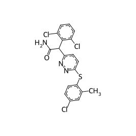 Cc1cc(Cl)ccc1Sc1ccc(C(C(N)=O)c2c(Cl)cccc2Cl)nn1